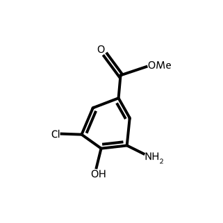 COC(=O)c1cc(N)c(O)c(Cl)c1